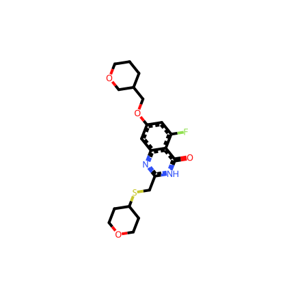 O=c1[nH]c(CSC2CCOCC2)nc2cc(OCC3CCCOC3)cc(F)c12